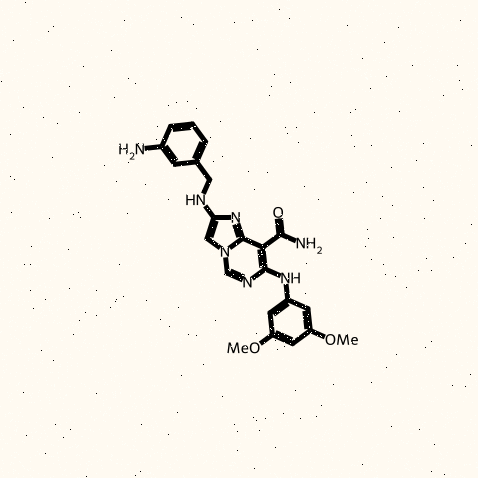 COc1cc(Nc2ncn3cc(NCc4cccc(N)c4)nc3c2C(N)=O)cc(OC)c1